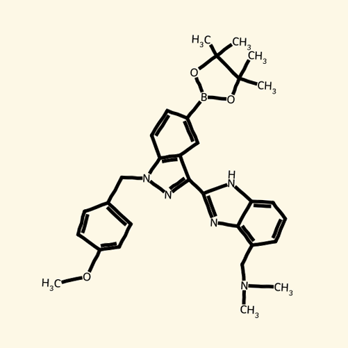 COc1ccc(Cn2nc(-c3nc4c(CN(C)C)cccc4[nH]3)c3cc(B4OC(C)(C)C(C)(C)O4)ccc32)cc1